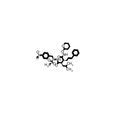 CC(C)C[C@@H](C(=O)NN(Cc1ccc([N+](=O)[O-])cc1)S(C)(=O)=O)[C@H](CC=Cc1ccccc1)C(=O)NOC1CCCCO1